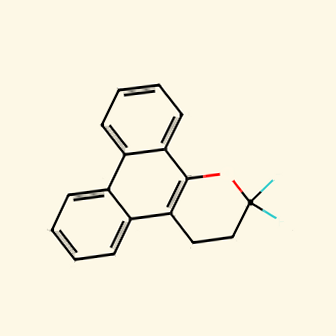 FC1(F)CCc2c(c3ccccc3c3ccccc23)O1